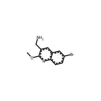 COc1nc2ccc(Br)cc2cc1CN